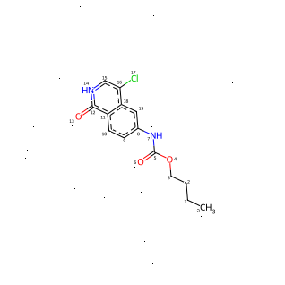 CCCCOC(=O)Nc1ccc2c(=O)[nH]cc(Cl)c2c1